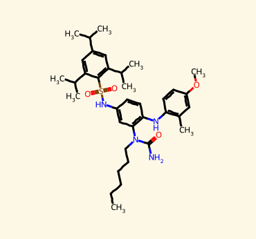 CCCCCCN(C(N)=O)c1cc(NS(=O)(=O)c2c(C(C)C)cc(C(C)C)cc2C(C)C)ccc1Nc1ccc(OC)cc1C